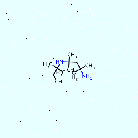 CCC(C)(C)NC(C)(C)CC(C)(C)N